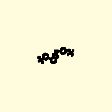 CS(=O)(=O)c1cccc(-c2cccc3nc(Nc4ccc(OC(F)(F)F)cc4)nn23)c1